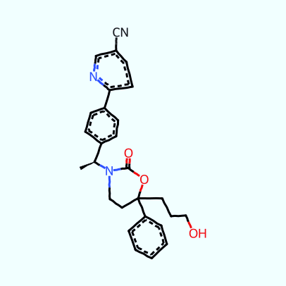 C[C@@H](c1ccc(-c2ccc(C#N)cn2)cc1)N1CCC(CCCO)(c2ccccc2)OC1=O